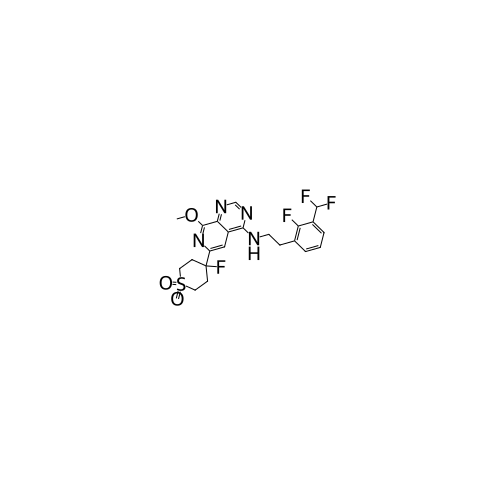 COc1nc(C2(F)CCS(=O)(=O)CC2)cc2c(NCCc3cccc(C(F)F)c3F)ncnc12